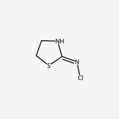 Cl/N=C1/NCCS1